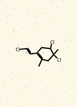 CC1=C(/C=C/Cl)CC(Cl)C(C)(Cl)C1